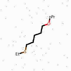 [CH2]CCOCCCCCSC[CH2]